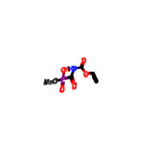 C=COC(=O)NC(=O)P(=O)(O)OC